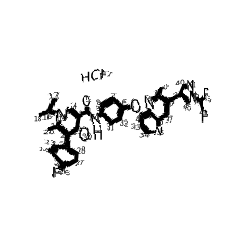 Cc1nc2c(Oc3ccc(NC(=O)c4cn(C(C)C)c(C)c(-c5ccc(F)cc5)c4=O)cc3)ccnc2cc1-c1cnn(C(F)F)c1.Cl